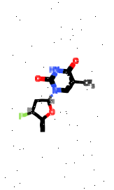 C=C1O[C@@H](n2cc(C(F)(F)F)c(=O)[nH]c2=O)C[C@@H]1F